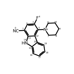 N#Cc1cc(F)c(N2CCCCC2)c2c1[nH]c1ccccc12